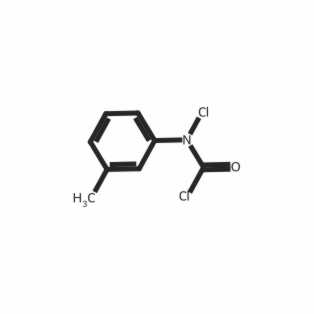 Cc1cccc(N(Cl)C(=O)Cl)c1